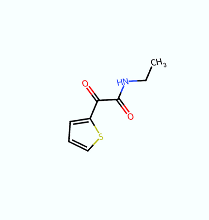 CCNC(=O)C(=O)c1cccs1